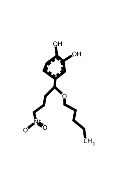 CCCCCOC(CCC[N+](=O)[O-])c1ccc(O)c(O)c1